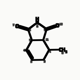 CC1CC=CC2C(=O)NC(=O)C12